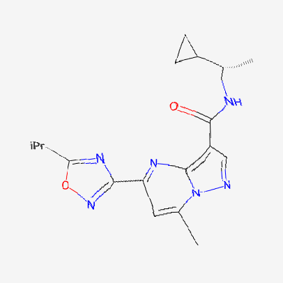 Cc1cc(-c2noc(C(C)C)n2)nc2c(C(=O)N[C@@H](C)C3CC3)cnn12